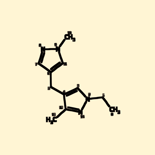 CCn1cc(Cc2cnn(C)c2)c(C)n1